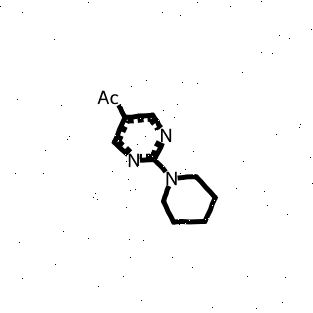 CC(=O)c1cnc(N2CCCCC2)nc1